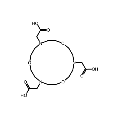 O=C(O)CN1CCOCCN(CC(=O)O)CCOCCN(CC(=O)O)CCOCC1